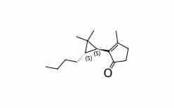 CCCC[C@H]1[C@H](C2=C(C)CCC2=O)C1(C)C